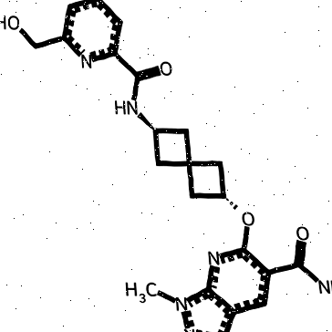 Cn1ncc2cc(C(N)=O)c(O[C@H]3CC4(C[C@H](NC(=O)c5cccc(CO)n5)C4)C3)nc21